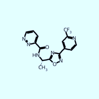 C[C@H](NC(=O)c1cccnn1)c1nc(-c2ccnc(C(F)(F)F)c2)no1